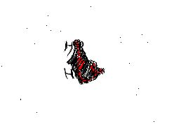 CC(C)(C)OC(=O)NCCCOCCOCCOCCCNC(=O)CCCCn1nnnc1C(C)(C)CCCCOc1cc(-c2ccccc2)cc(-c2ccccc2)n1